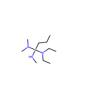 CCC[Si](NC)(N(C)C)N(CC)CC